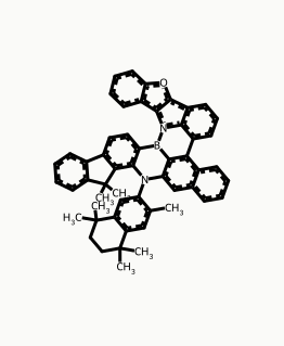 Cc1cc2c(cc1N1c3cc4ccccc4c4c3B(c3ccc5c(c31)C(C)(C)c1ccccc1-5)n1c3c-4cccc3c3oc4ccccc4c31)C(C)(C)CCC2(C)C